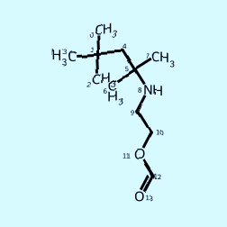 CC(C)(C)CC(C)(C)NCCOC=O